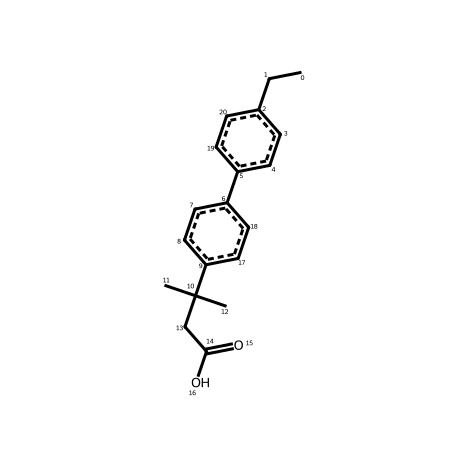 CCc1ccc(-c2ccc(C(C)(C)CC(=O)O)cc2)cc1